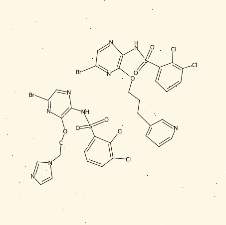 O=S(=O)(Nc1ncc(Br)nc1OCCCc1cccnc1)c1cccc(Cl)c1Cl.O=S(=O)(Nc1ncc(Br)nc1OCCn1ccnc1)c1cccc(Cl)c1Cl